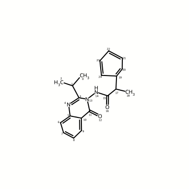 CC(C)c1nc2ccccc2c(=O)n1NC(=O)C(C)c1ccccc1